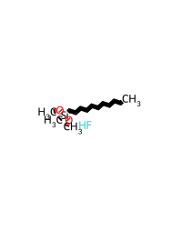 CCCCCCCCCCC[Si](C)(OC)OC.F